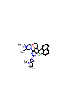 CN(C)C1(CC#N)CN(c2nc(N3CCN(C(=O)O)C(CC#N)C3)c3c4c(c(-c5cccc6cccc(Cl)c56)cc3n2)CCCO4)C1